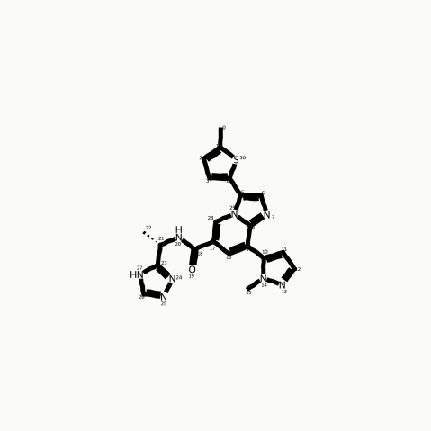 Cc1ccc(-c2cnc3c(-c4ccnn4C)cc(C(=O)N[C@@H](C)c4nnc[nH]4)cn23)s1